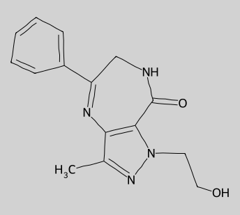 Cc1nn(CCO)c2c1N=C(c1ccccc1)CNC2=O